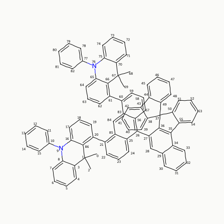 CC1(C)c2ccccc2N(c2ccccc2)c2cccc(-c3cccc4c(-c5cc6ccccc6c6c5C5(c7ccccc7-c7ccccc75)c5ccccc5-6)c5cccc(-c6cccc7c6C(C)(C)c6ccccc6N7c6ccccc6)c5cc34)c21